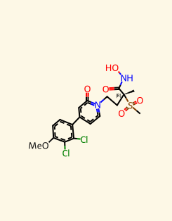 COc1ccc(-c2ccn(CC[C@](C)(C(=O)NO)S(C)(=O)=O)c(=O)c2)c(Cl)c1Cl